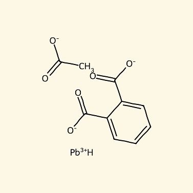 CC(=O)[O-].O=C([O-])c1ccccc1C(=O)[O-].[PbH+3]